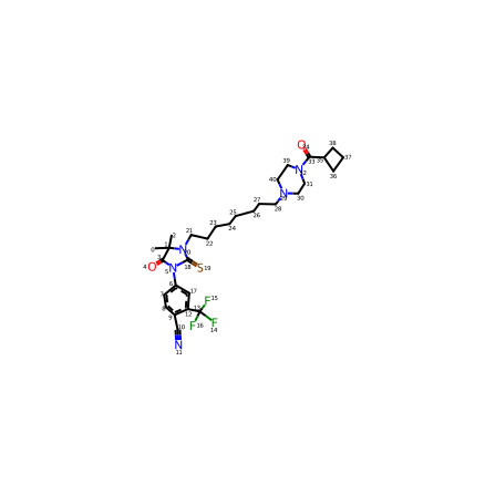 CC1(C)C(=O)N(c2ccc(C#N)c(C(F)(F)F)c2)C(=S)N1CCCCCCCCN1CCN(C(=O)C2CCC2)CC1